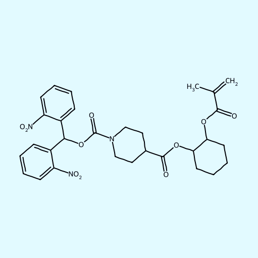 C=C(C)C(=O)OC1CCCCC1OC(=O)C1CCN(C(=O)OC(c2ccccc2[N+](=O)[O-])c2ccccc2[N+](=O)[O-])CC1